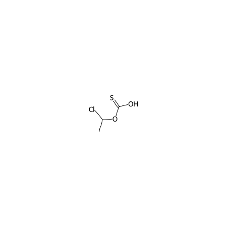 CC(Cl)OC(O)=S